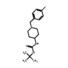 CC(C)(C)OC(=O)NC1CCN(Cc2ccc(I)cc2)CC1